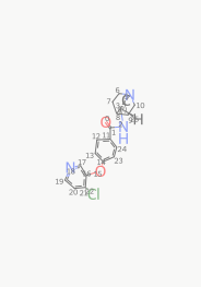 O=C(N[C@H]1CN2CCC1CC2)c1ccc(Oc2cnccc2Cl)cc1